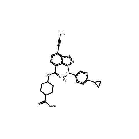 CC#Cc1ccc(C(=O)NC2CCC(C(=O)OC)CC2)c2c1cnn2[C@@H](C)c1cnc(C2CC2)nc1